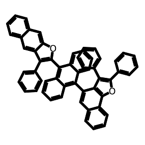 c1ccc(-c2oc3c(c(-c4c5ccccc5c(-c5oc6cc7ccccc7cc6c5-c5ccccc5)c5ccccc45)cc4ccccc43)c2-c2ccccc2)cc1